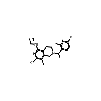 Cc1c(Cl)nc(NCC#N)c2c1CN(C(C)c1ccc(F)nc1F)CC2